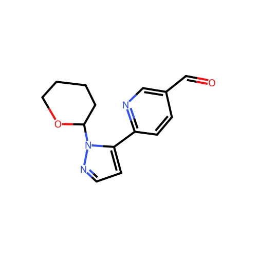 O=Cc1ccc(-c2ccnn2C2CCCCO2)nc1